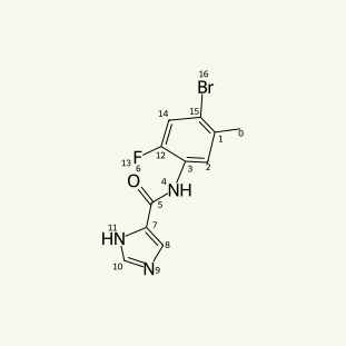 Cc1cc(NC(=O)c2cnc[nH]2)c(F)cc1Br